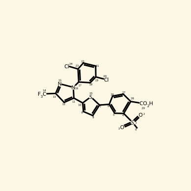 CS(=O)(=O)c1cc(-c2ccc(-c3cc(C(F)(F)F)nn3-c3cc(Cl)ccc3Cl)s2)ccc1C(=O)O